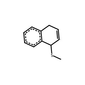 CSC1[C]=CCc2ccccc21